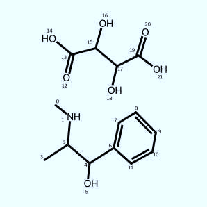 CNC(C)C(O)c1ccccc1.O=C(O)C(O)C(O)C(=O)O